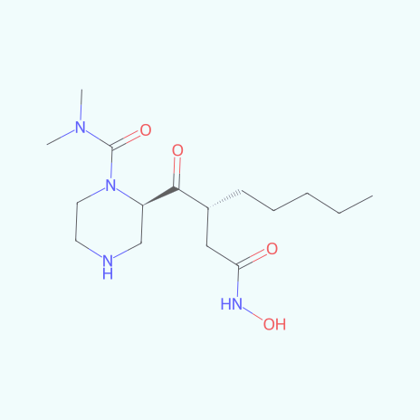 CCCCC[C@H](CC(=O)NO)C(=O)[C@H]1CNCCN1C(=O)N(C)C